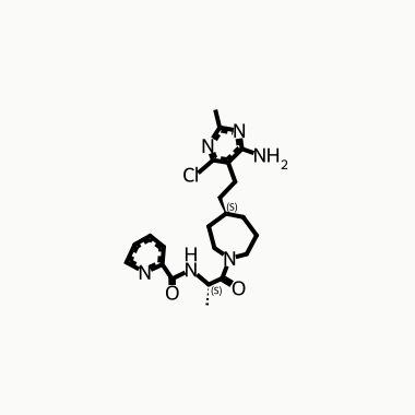 Cc1nc(N)c(CC[C@H]2CCCN(C(=O)[C@H](C)NC(=O)c3ccccn3)CC2)c(Cl)n1